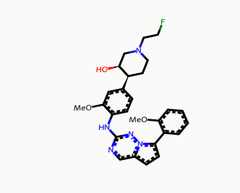 COc1cc([C@@H]2CCN(CCF)C[C@@H]2O)ccc1Nc1ncc2ccc(-c3ccccc3OC)n2n1